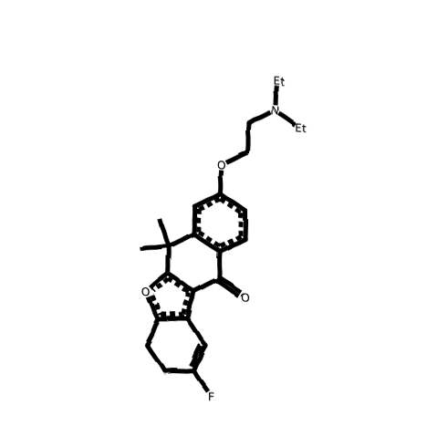 CCN(CC)CCOc1ccc2c(c1)C(C)(C)c1oc3c(c1C2=O)C=C(F)CC3